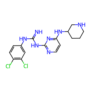 N=C(Nc1ccc(Cl)c(Cl)c1)Nc1nccc(NC2CCCNC2)n1